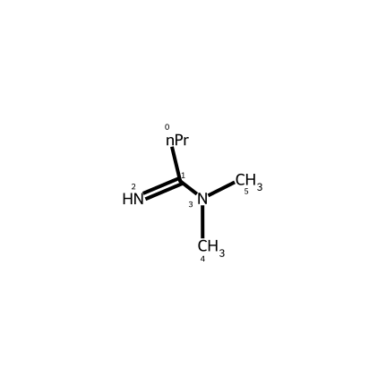 CCCC(=N)N(C)C